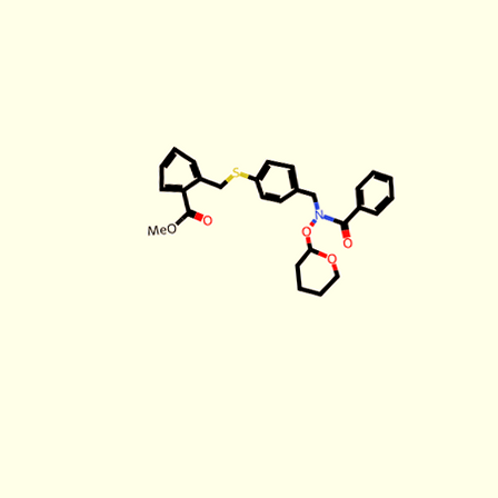 COC(=O)c1ccccc1CSc1ccc(CN(OC2CCCCO2)C(=O)c2ccccc2)cc1